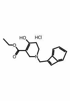 CCOC(=O)C1=C(O)CCN(CC2=Cc3ccccc32)C1.Cl